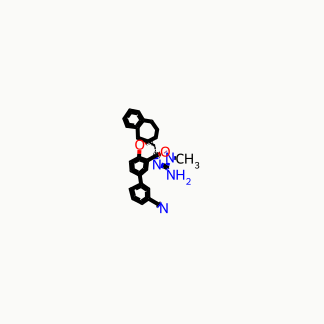 CN1O[C@@]2(C[C@@]3(CCCc4ccccc4C3)Oc3ccc(-c4cccc(C#N)c4)cc32)N=C1N